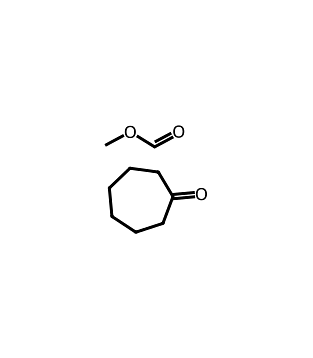 COC=O.O=C1CCCCCC1